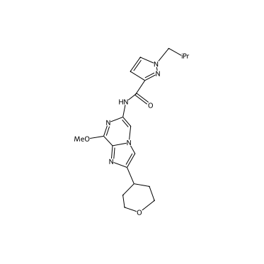 COc1nc(NC(=O)c2ccn(CC(C)C)n2)cn2cc(C3CCOCC3)nc12